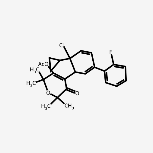 CC(=O)OC1=C(C2C=C(c3ccccc3F)C=CC2(Cl)C2CC2)C(=O)C(C)(C)OC1(C)C